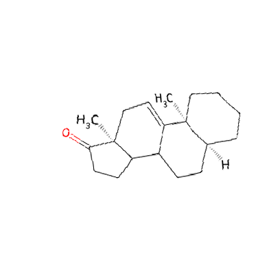 C[C@]12CC=C3C(CC[C@@H]4CCCC[C@]34C)C1CCC2=O